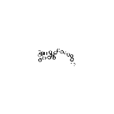 CCC(C)(CC)NC(=O)c1cc(-c2ccc3c(c2)C(=O)N(c2ccc(Oc4ccc(C(C)(C)c5ccc(Oc6ccc(C(C)(CC)CC)cc6)cc5)cc4)cc2)C3=O)ccc1C=O